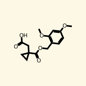 COc1ccc(COC(=O)C2(CC(=O)O)CC2)c(OC)c1